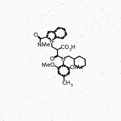 CNC(=O)c1cc2ccccc2n1CC(C(=O)O)C(=O)N(CC1CCCCC1)c1c(OC)cc(C)cc1OC